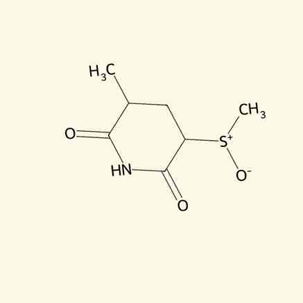 CC1CC([S+](C)[O-])C(=O)NC1=O